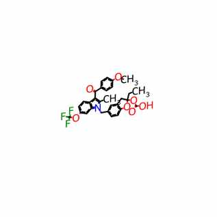 CCC1(OC(=O)O)Cc2cc(Cn3c(C)c(C(=O)c4ccc(OC)cc4)c4ccc(OC(F)(F)F)cc43)ccc2O1